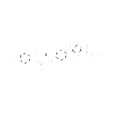 CC(F)(F)C(F)(F)c1n[nH]c(-c2ccc(NC(=O)C(N)Cc3ccc(Br)cc3)cc2)n1